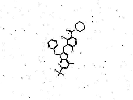 Cc1cc(C(F)(F)F)nc2c1cc(Cc1c(Cl)cnc(C(=O)N3CCOCC3)c1Cl)n2Sc1ccccc1